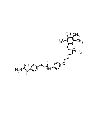 Cc1c(C)c2c(c(C)c1O)CCC(C)(CCCCOc1ccc(NC(=O)/C=C/c3ccc(NC(=N)N)cc3)cc1)O2